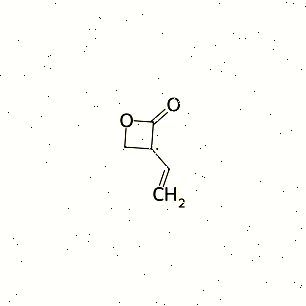 C=C[C]1COC1=O